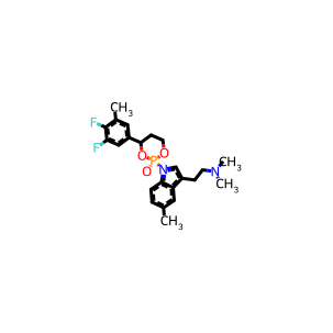 Cc1ccc2c(c1)c(CCN(C)C)cn2P1(=O)OCCC(c2cc(C)c(F)c(F)c2)O1